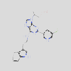 CC(CO)n1cnc2c(NCCc3c[nH]c4c3CCC=C4)nc(-c3cncc(F)c3)nc21